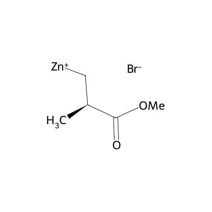 COC(=O)[C@@H](C)[CH2][Zn+].[Br-]